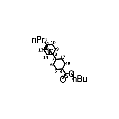 CCCCOC(=O)C1CCC(C23CCC(CCC)(CC2)CC3)CC1